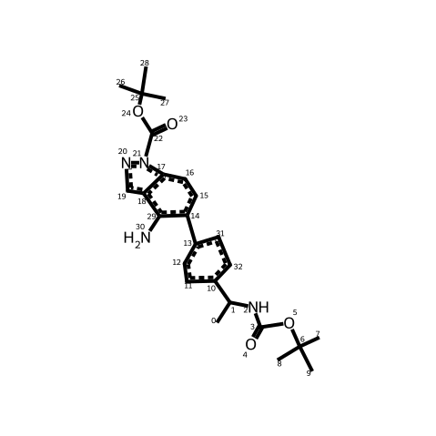 CC(NC(=O)OC(C)(C)C)c1ccc(-c2ccc3c(cnn3C(=O)OC(C)(C)C)c2N)cc1